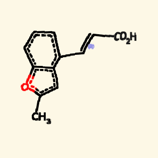 Cc1cc2c(/C=C/C(=O)O)cccc2o1